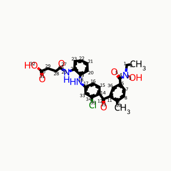 CCN(O)C(=O)c1ccc(C)c(C(=O)c2ccc(Nc3ccccc3NC(=O)CCC(=O)O)cc2Cl)c1